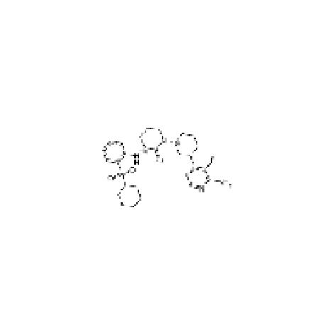 Nc1ncnc(N2CCC[C@@H](N3CCC[C@@H](Nc4ccccc4S(=O)(=O)C4CCCCC4)C3=O)C2)c1F